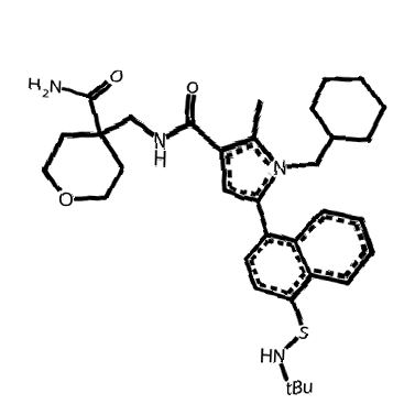 Cc1c(C(=O)NCC2(C(N)=O)CCOCC2)cc(-c2ccc(SNC(C)(C)C)c3ccccc23)n1CC1CCCCC1